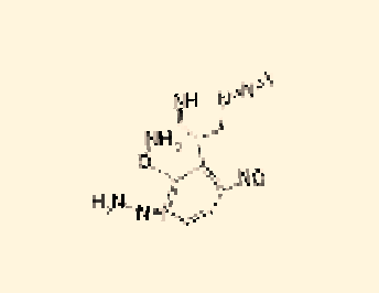 [N-]=[N+]=NCC(C=N)c1c(N=O)ccc(NN)c1ON